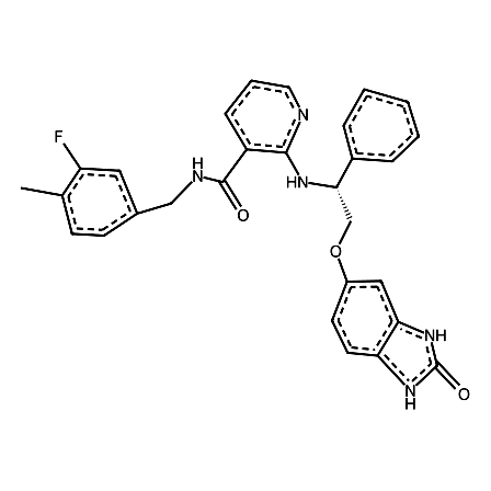 Cc1ccc(CNC(=O)c2cccnc2N[C@@H](COc2ccc3[nH]c(=O)[nH]c3c2)c2ccccc2)cc1F